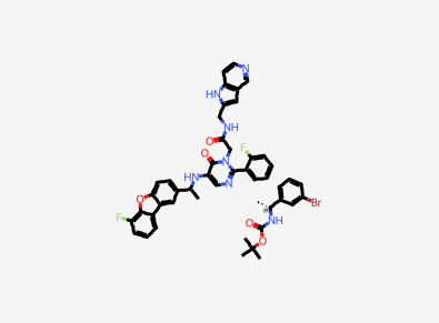 CC(Nc1cnc(-c2ccccc2F)n(CC(=O)NCc2cc3cnccc3[nH]2)c1=O)c1ccc2oc3c(F)cccc3c2c1.C[C@@H](NC(=O)OC(C)(C)C)c1cccc(Br)c1